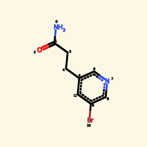 NC(=O)CCc1cncc(Br)c1